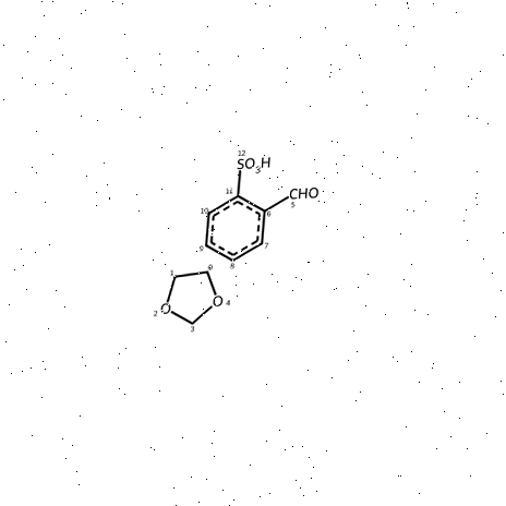 C1COCO1.O=Cc1ccccc1S(=O)(=O)O